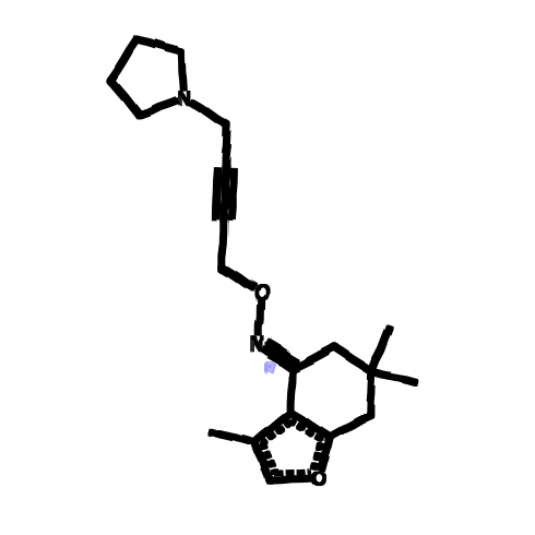 Cc1coc2c1/C(=N/OCC#CCN1CCCC1)CC(C)(C)C2